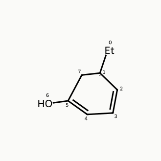 CC[C]1C=CC=C(O)C1